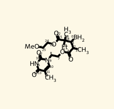 BC(C(C)C(=O)OCCn1cc(C)c(=O)[nH]c1=O)C(C)(CC)C(=O)OCCOC